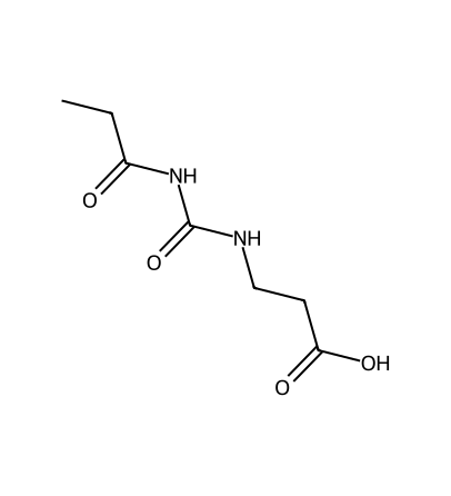 CCC(=O)NC(=O)NCCC(=O)O